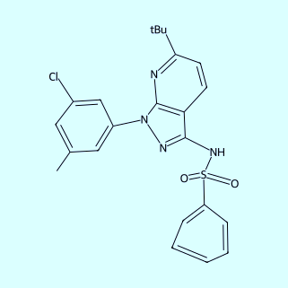 Cc1cc(Cl)cc(-n2nc(NS(=O)(=O)c3ccccc3)c3ccc(C(C)(C)C)nc32)c1